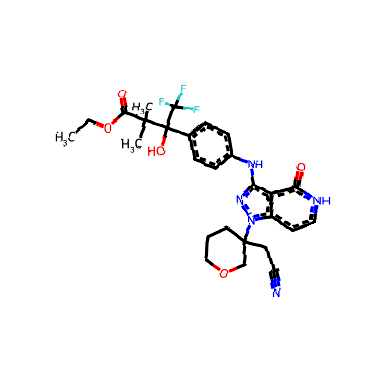 CCOC(=O)C(C)(C)C(O)(c1ccc(Nc2nn(C3(CC#N)CCCOC3)c3cc[nH]c(=O)c23)cc1)C(F)(F)F